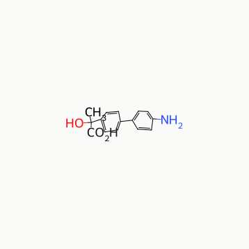 CC(O)(C(=O)O)c1ccc(-c2ccc(N)cc2)cc1